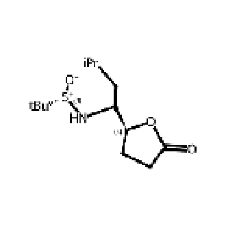 CC(C)CC(N[S@@+]([O-])C(C)(C)C)[C@@H]1CCC(=O)O1